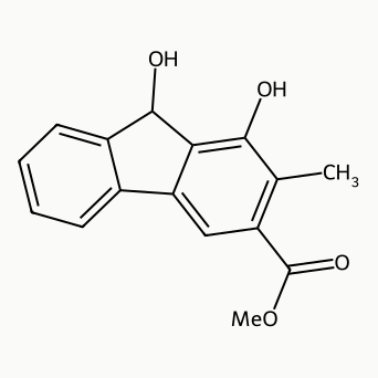 COC(=O)c1cc2c(c(O)c1C)C(O)c1ccccc1-2